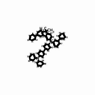 CC1(C)c2ccc(-c3ccccc3)cc2-c2cc(N(c3ccc(-c4ccc(N(c5ccccc5)c5ccccc5)cc4)cc3)c3cccc(-c4ccccc4)c3)ccc21